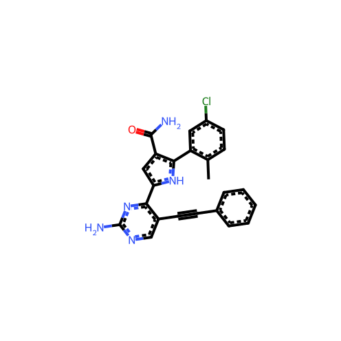 Cc1ccc(Cl)cc1-c1[nH]c(-c2nc(N)ncc2C#Cc2ccccc2)cc1C(N)=O